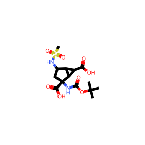 CC(C)(C)OC(=O)NC1(C(=O)O)CC(NS(C)(=O)=O)C2C(C(=O)O)C21